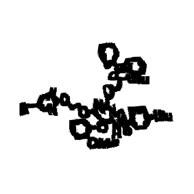 COc1ccccc1Oc1c(NS(=O)(=O)c2ccc(C(C)(C)C)cc2)nc(OCC(O[SiH](c2ccccc2)c2ccccc2)C(C)(C)C)nc1OCCOc1ncc(Br)cn1